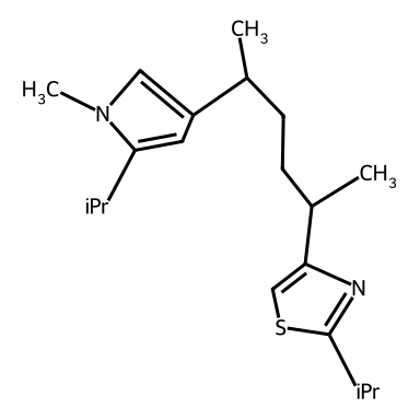 CC(C)c1nc(C(C)CCC(C)c2cc(C(C)C)n(C)c2)cs1